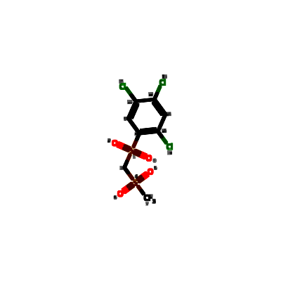 O=S(=O)(CS(=O)(=O)C(F)(F)F)c1cc(Cl)c(Cl)cc1Cl